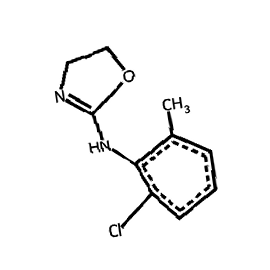 Cc1cccc(Cl)c1NC1=NCCO1